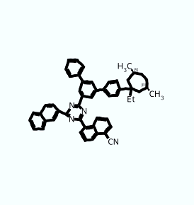 CCC1(c2ccc(-c3cc(-c4ccccc4)cc(-c4nc(-c5ccc6ccccc6c5)nc(-c5cccc6c(C#N)cccc56)n4)c3)cc2)C[C@H](C)CC[C@H](C)C1